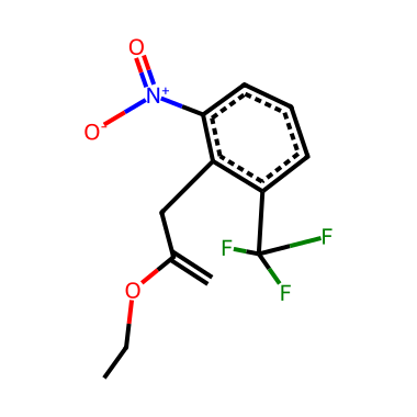 C=C(Cc1c([N+](=O)[O-])cccc1C(F)(F)F)OCC